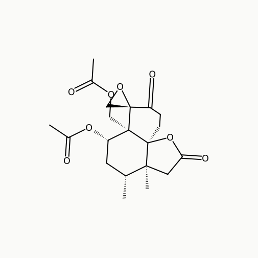 CC(=O)OC[C@@]12[C@@H](OC(C)=O)C[C@@H](C)[C@]3(C)CC(=O)O[C@]13CCC(=O)[C@]21CO1